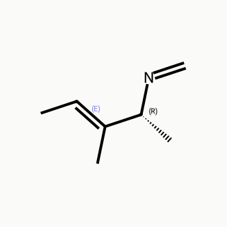 C=N[C@H](C)/C(C)=C/C